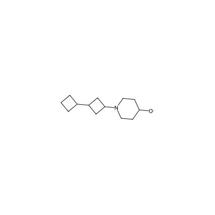 [O]C1CCN(C2CC(C3CCC3)C2)CC1